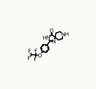 O=C1NC(c2ccc(OC(F)(F)C(F)F)cc2)=NC12CCNCC2